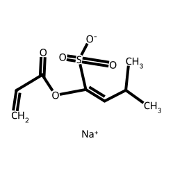 C=CC(=O)OC(=CC(C)C)S(=O)(=O)[O-].[Na+]